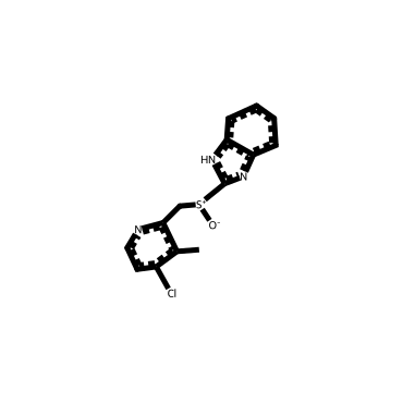 Cc1c(Cl)ccnc1C[S+]([O-])c1nc2ccccc2[nH]1